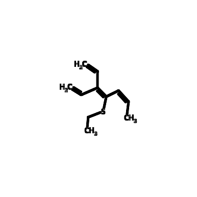 C=CC(C=C)=C(/C=C\C)SCC